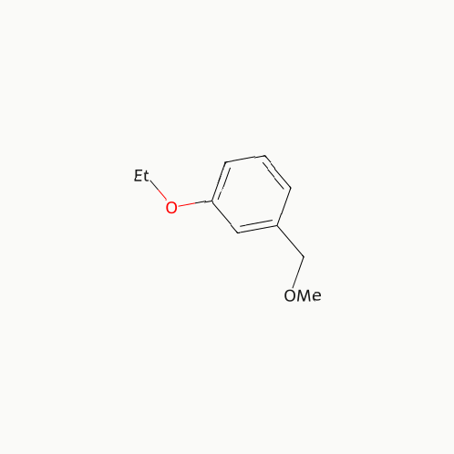 [CH2]COc1cccc(COC)c1